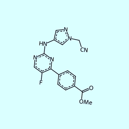 COC(=O)c1ccc(-c2nc(Nc3cnn(CC#N)c3)ncc2F)cc1